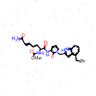 COC(=O)NC(CCC=CC(N)=O)C(=O)Nc1cccn(Cc2cc3c(CC(C)C)cccc3[nH]2)c1=O